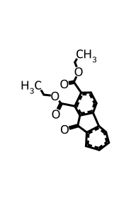 CCOC(=O)c1ccc2c(c1C(=O)OCC)C(=O)c1ccccc1-2